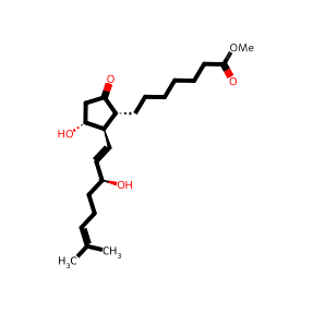 COC(=O)CCCCCC[C@H]1C(=O)C[C@@H](O)[C@@H]1C=C[C@@H](O)CCC=C(C)C